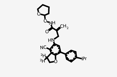 [2H]C1([2H])COc2c(-c3ccc(C(C)C)cc3)cc(NCC(=C)C(=O)NOC3CCCCO3)c(C#N)c21